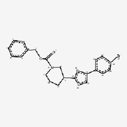 O=C(OCc1ccccc1)N1CCCC(c2nc(-c3ccc(Br)cc3)cs2)C1